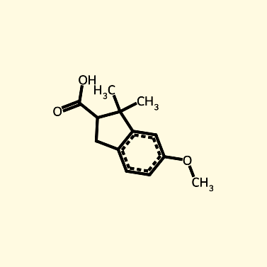 COc1ccc2c(c1)C(C)(C)C(C(=O)O)C2